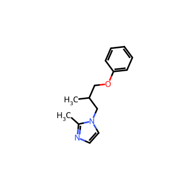 Cc1nccn1CC(C)COc1ccccc1